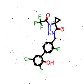 C[C@@H](NC(=O)C1(NC(=O)C(F)(F)F)CC1)c1ccc(-c2cc(Cl)cc(F)c2O)cc1F